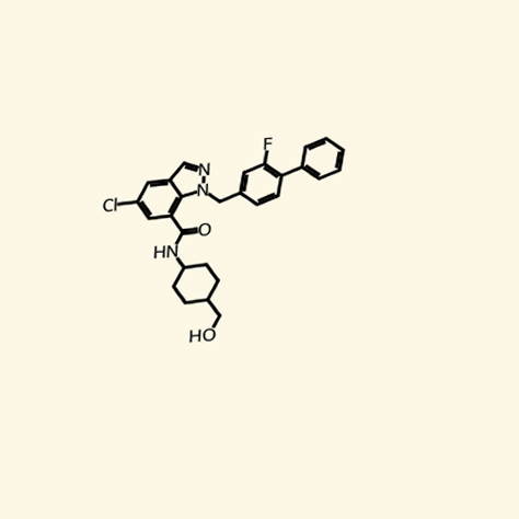 O=C(NC1CCC(CO)CC1)c1cc(Cl)cc2cnn(Cc3ccc(-c4ccccc4)c(F)c3)c12